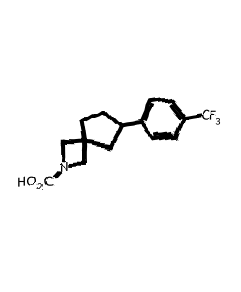 O=C(O)N1CC2(CCC(c3ccc(C(F)(F)F)cc3)C2)C1